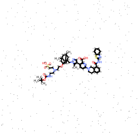 Cc1c(-c2ccc(N3CCc4cccc(C(=O)Nc5nc6ccccc6s5)c4C3)nc2C(=O)O)cnn1CC12CC3(C)CC(C)(C1)CC(OCCN(CCNC(=O)OC(C)(C)C)CCS(=O)(=O)O)(C3)C2